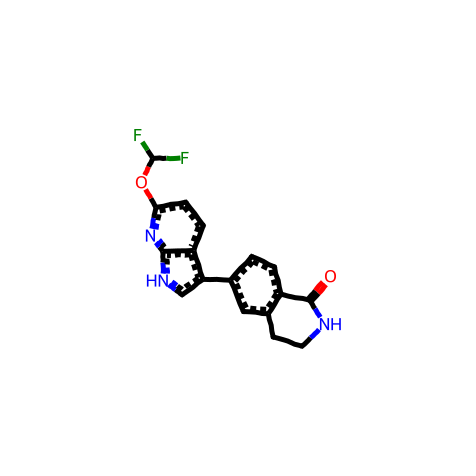 O=C1NCCc2cc(-c3c[nH]c4nc(OC(F)F)ccc34)ccc21